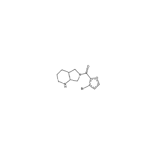 O=C(c1occc1Br)N1CC2CCCNC2C1